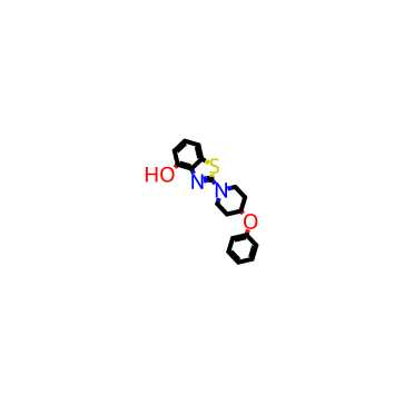 Oc1cccc2sc(N3CCC(Oc4ccccc4)CC3)nc12